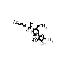 C=Cc1cn([C@@H]2O[C@H](C)[C@@H](O)[C@H]2O)c(=O)nc1NC(=O)OCCCC(C)=O